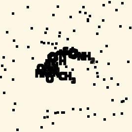 CCn1cnc2c1c(=O)[nH]c(=O)n2Cc1ccc(CNSc2ccc(N)cc2)cc1